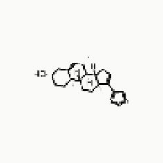 C[C@H]1C=C2C[C@@H](O)CC[C@]2(C)[C@H]2CC[C@]3(C)C(c4cncs4)=CC[C@H]3[C@H]12